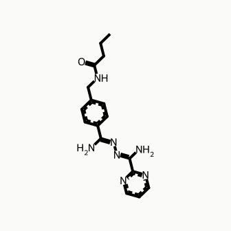 CCCC(=O)NCc1ccc(/C(N)=N/N=C(\N)c2ncccn2)cc1